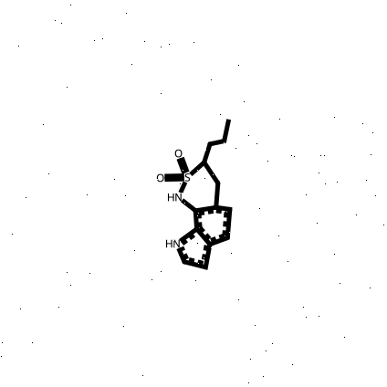 CCCC1Cc2ccc3cc[nH]c3c2NS1(=O)=O